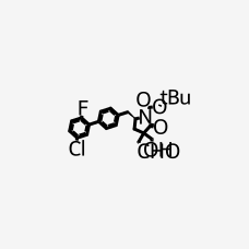 CC(C)(C)OC(=O)N1C(=O)C(CO)(CC=O)C[C@H]1Cc1ccc(-c2cc(Cl)ccc2F)cc1